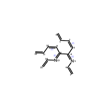 C=C\C=C/C(=N/C=C)C(/C=C\C=C)=N/C=C